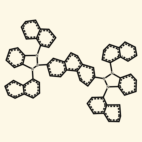 c1ccc2c(c1)N(c1cccc3ccccc13)B(c1ccc3c(ccc4cc(B5N(c6cccc7ccccc67)c6ccccc6N5c5cccc6ccccc56)ccc43)c1)N2c1cccc2ccccc12